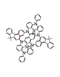 CC1(C)c2ccccc2-c2ccc(N3c4cccc5c4[SiH]4c6c(cccc6N(c6ccccc6)c6c4c3cc3c4c7c(cc63)N(c3ccc6c(c3)C(C)(C)c3ccccc3-6)c3cccc6c3[SiH]7c3c(cccc3N4c3ccccc3)N6c3ccccc3)N5c3ccccc3)cc21